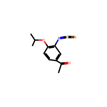 CC(=O)c1ccc(OC(C)C)c(N=C=S)c1